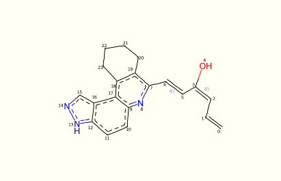 C=C/C=C(O)\C=C\c1nc2ccc3[nH]ncc3c2c2c1CCCC2